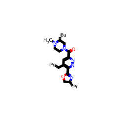 CCC(C)C1CN(C(=O)c2cc(CC(C)C)c(C3=NC(C(C)C)CO3)nn2)CCN1C